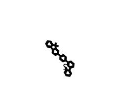 CC1(C)c2ccccc2-c2ccc(-c3ccc(-c4cccc5c4sc4ccccc45)cc3)cc21